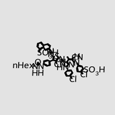 CCCCCCNC(=O)Nc1ccc(-c2c(N=Nc3ccc4cccc(S(=O)(=O)O)c4c3)sc(N=Nc3c(Nc4ccc(Cl)cc4)nc(Nc4ccc(Cl)c(S(=O)(=O)O)c4)c(C#N)c3C)c2C#N)cc1